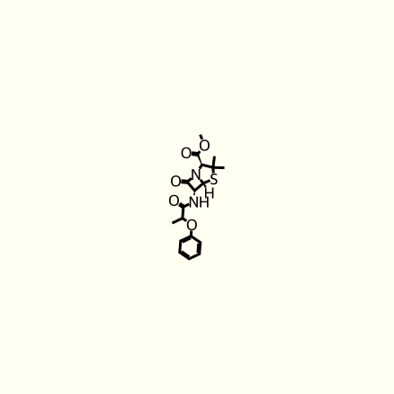 COC(=O)[C@@H]1N2C(=O)[C@@H](NC(=O)C(C)Oc3ccccc3)[C@H]2SC1(C)C